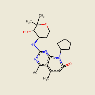 CC(=O)c1nc(N[C@@H]2CCOC(C)(C)[C@H]2O)nc2c1c(C)cc(=O)n2C1CCCC1